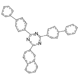 c1ccc(-c2ccc(-c3nc(-c4ccc(-c5ccccc5)cc4)nc(-c4ccc5ccccc5c4)n3)cc2)cc1